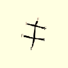 FC(F)(I)C(F)(F)I